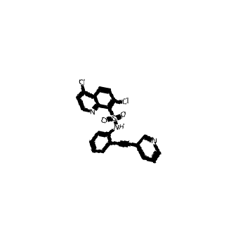 O=S(=O)(Nc1ccccc1C#Cc1cccnc1)c1c(Cl)ccc2c(Cl)ccnc12